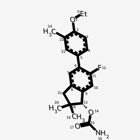 CCOc1ccc(-c2cc3c(cc2F)[C@H](OC(N)=O)C(C)(C)C3)cc1C